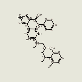 CN(CC1CN(C)c2c(F)cccc2O1)c1ncc2c3n[nH]cc3c(=O)n(-c3ccccc3)c2n1